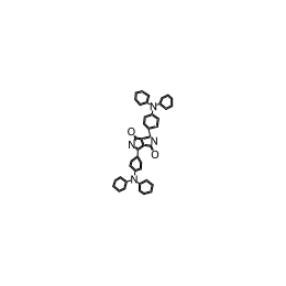 O=c1nc(-c2ccc(N(c3ccccc3)c3ccccc3)cc2)c2c(=O)nc(-c3ccc(N(c4ccccc4)c4ccccc4)cc3)c1=2